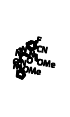 COCCn1c(=O)c2c(-c3nc(C4(OC)CCCC4)no3)ncn2c2ccc(F)c(C#N)c21